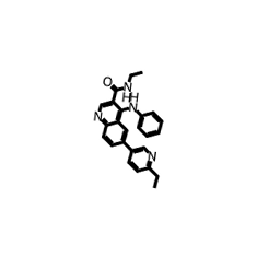 CCNC(=O)c1cnc2ccc(-c3ccc(CC)nc3)cc2c1Nc1ccccc1